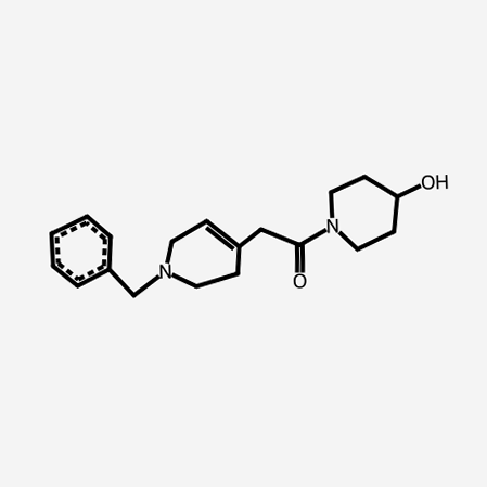 O=C(CC1=CCN(Cc2ccccc2)CC1)N1CCC(O)CC1